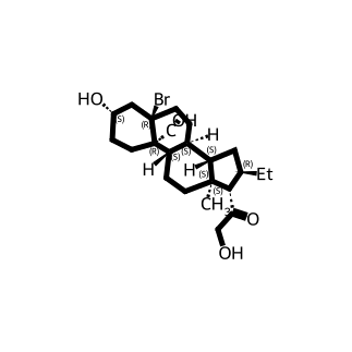 CC[C@@H]1C[C@H]2[C@@H]3CC[C@@]4(Br)C[C@@H](O)CC[C@]4(CO)[C@H]3CC[C@]2(C)[C@H]1C(=O)CO